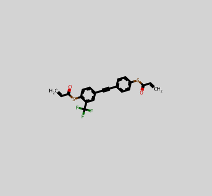 C=CC(=O)Sc1ccc(C#Cc2ccc(SC(=O)C=C)c(C(F)(F)F)c2)cc1